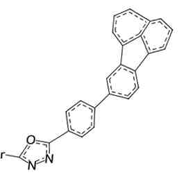 Brc1nnc(-c2ccc(-c3ccc4c(c3)-c3cccc5cccc-4c35)cc2)o1